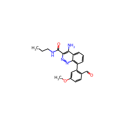 CCCNC(=O)c1nnc2c(-c3cc(OC)ccc3C=O)cccc2c1N